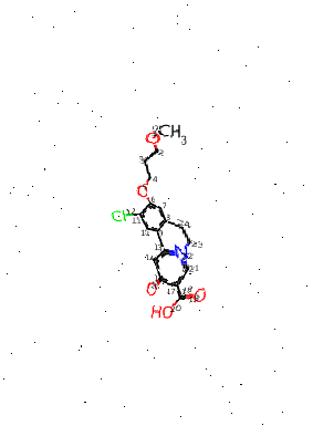 COCCCOc1cc2c(cc1Cl)-c1cc(=O)c(C(=O)O)cn1CC2